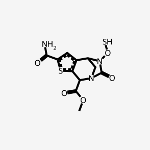 COC(=O)C1c2sc(C(N)=O)cc2C2CN1C(=O)N2OS